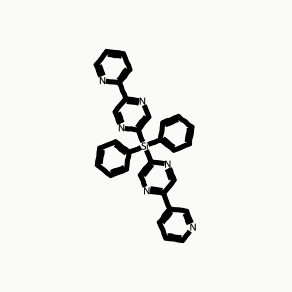 c1ccc([Si](c2ccccc2)(c2cnc(-c3cccnc3)cn2)c2cnc(-c3ccccn3)cn2)cc1